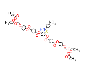 C=CC(=O)OCC(COc1ccc(OC(=O)C2CCC(C(=O)Oc3ccc(OC(=O)C4CCC(C(=O)Oc5ccc(OCC(COC(=O)C=C)OC(=O)C=C)cc5)CC4)c4c3NC(c3ccc([N+](=O)[O-])cc3)S4)CC2)cc1)OC(=O)C=C